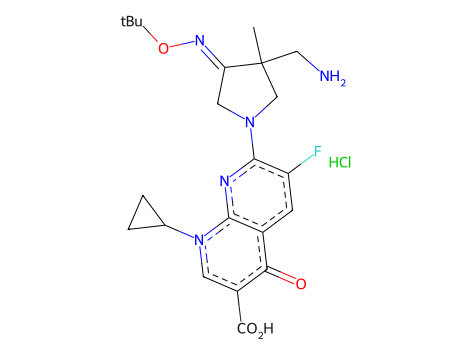 CC(C)(C)O/N=C1\CN(c2nc3c(cc2F)c(=O)c(C(=O)O)cn3C2CC2)CC1(C)CN.Cl